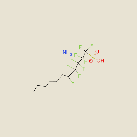 CCCCCCC(F)C(F)(F)C(F)(F)C(F)(F)C(F)(F)S(=O)(=O)O.N